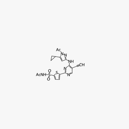 C#Cc1cnc(-c2ccc(S(=O)(=O)NC(C)=O)s2)nc1Nc1cc(C2CC2)n(C(C)=O)n1